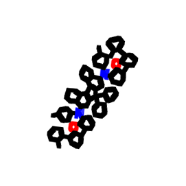 Cc1ccc(N(c2cc3c(c4ccccc24)-c2c(cc(N(c4ccc(C)cc4)c4cccc5c4oc4c(-c6ccccc6C)cccc45)c4ccccc24)C3(c2ccccc2)c2ccccc2)c2cccc3c2oc2c(-c4ccccc4C)cccc23)cc1